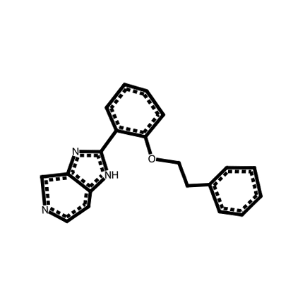 c1ccc(CCOc2ccccc2-c2nc3cnccc3[nH]2)cc1